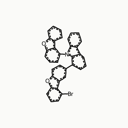 Brc1cccc2oc3ccc(-c4cccc5c6ccccc6n(-c6cccc7oc8ccccc8c67)c45)cc3c12